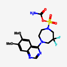 COc1cc2ncnc(N3CCN(S(=O)(=O)OC(N)=O)CC(F)(F)C3)c2cc1OC